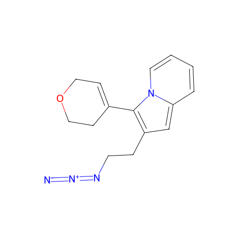 [N-]=[N+]=NCCc1cc2ccccn2c1C1=CCOCC1